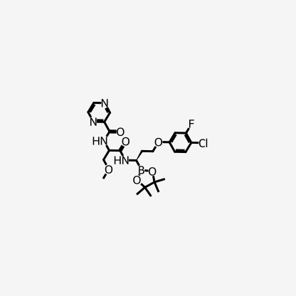 COCC(NC(=O)c1cnccn1)C(=O)N[C@@H](CCOc1ccc(Cl)c(F)c1)B1OC(C)(C)C(C)(C)O1